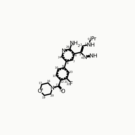 CC(C)N/C=C(\N=N)c1cc(-c2ccc(C(=O)N3CCOCC3)c(F)c2)cnc1N